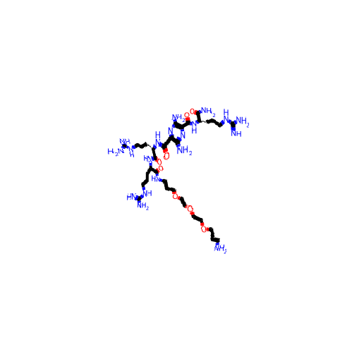 N=C(N)NCCCC(NC(=O)[C@H](CCCNC(=N)N)NC(=O)c1nc(N)c(C(=O)N[C@@H](CCCNC(=N)N)C(N)=O)nc1N)C(=O)NCCCOCCOCCOCCCN